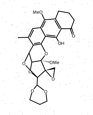 COc1c2c(c(O)c3c4c(c(C)cc13)C1OC3(C5OCCCO5)OC1[C@@](OC)(O4)[C@@]31CO1)C(=O)CCC2